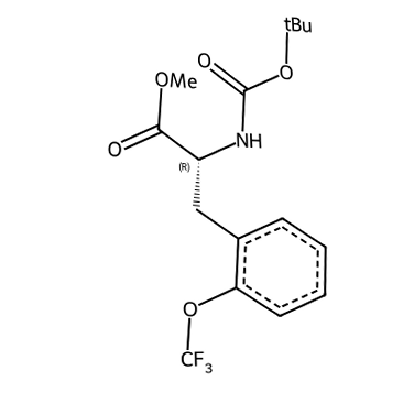 COC(=O)[C@@H](Cc1ccccc1OC(F)(F)F)NC(=O)OC(C)(C)C